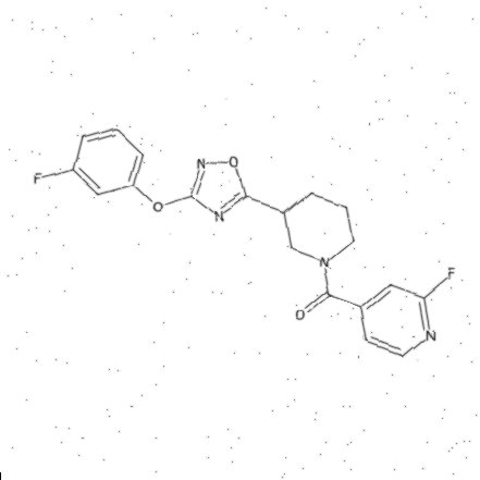 O=C(c1ccnc(F)c1)N1CCCC(c2nc(Oc3cccc(F)c3)no2)C1